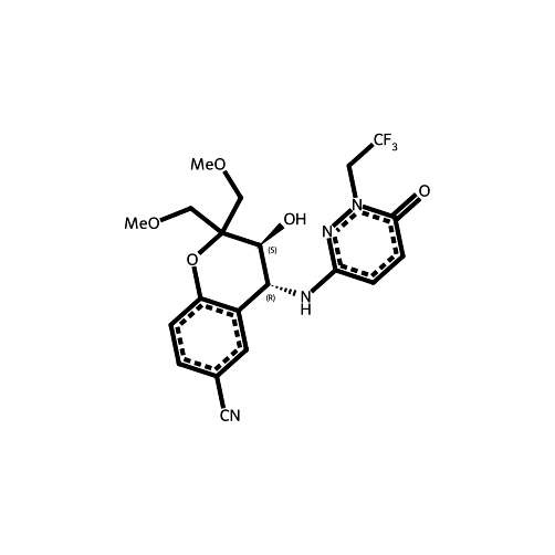 COCC1(COC)Oc2ccc(C#N)cc2[C@@H](Nc2ccc(=O)n(CC(F)(F)F)n2)[C@@H]1O